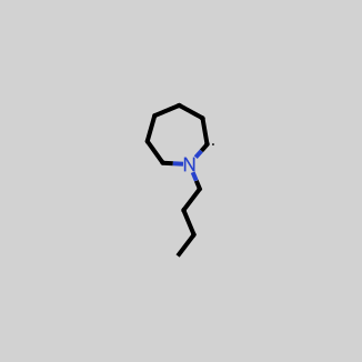 CCCCN1[CH]CCCCC1